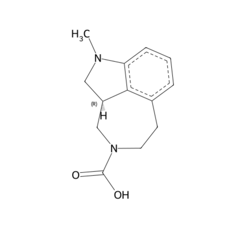 CN1C[C@@H]2CN(C(=O)O)CCc3cccc1c32